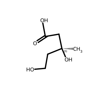 C[C@](O)(CCO)CC(=O)O